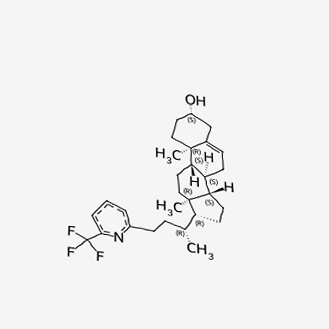 C[C@H](CCc1cccc(C(F)(F)F)n1)[C@H]1CC[C@H]2[C@@H]3CC=C4C[C@@H](O)CC[C@]4(C)[C@H]3CC[C@]12C